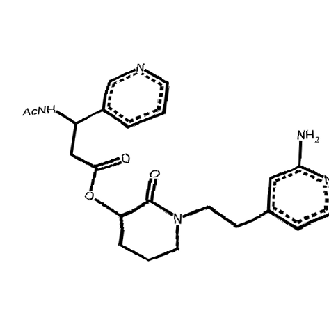 CC(=O)NC(CC(=O)OC1CCCN(CCc2ccnc(N)c2)C1=O)c1cccnc1